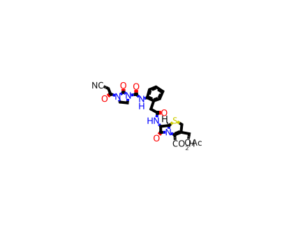 CC(=O)OCC1=C(C(=O)O)N2C(=O)C(NC(=O)Cc3ccccc3NC(=O)N3CCN(C(=O)CC#N)C3=O)[C@H]2SC1